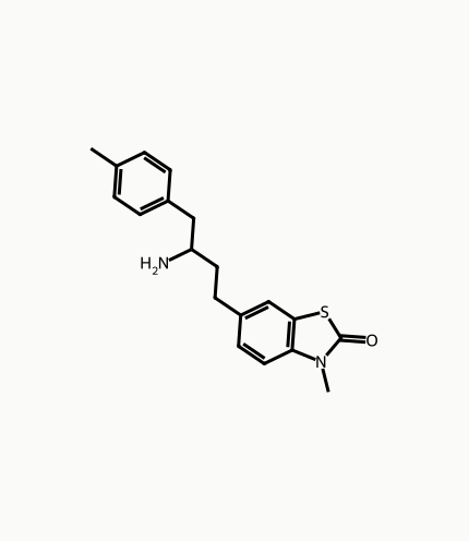 Cc1ccc(CC(N)CCc2ccc3c(c2)sc(=O)n3C)cc1